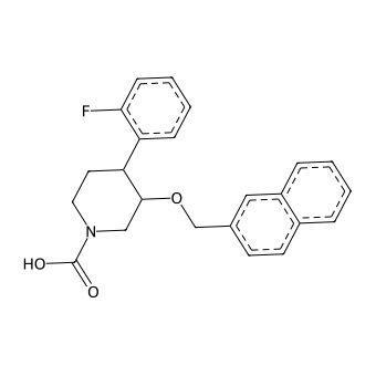 O=C(O)N1CCC(c2ccccc2F)C(OCc2ccc3ccccc3c2)C1